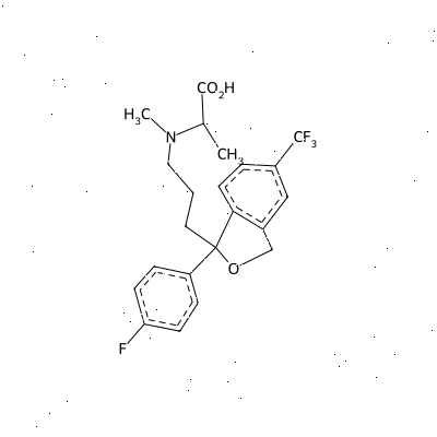 CC(C(=O)O)N(C)CCCC1(c2ccc(F)cc2)OCc2cc(C(F)(F)F)ccc21